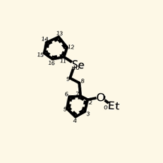 CCOc1ccccc1CC[Se]c1ccccc1